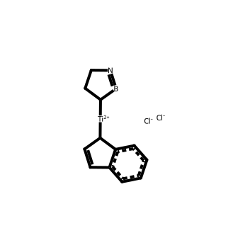 B1=NCC[CH]1[Ti+2][CH]1C=Cc2ccccc21.[Cl-].[Cl-]